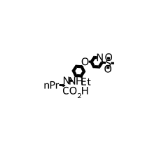 CCCC(=NNc1ccc(Oc2ccc(S(C)(=O)=O)nc2)cc1CC)C(=O)O